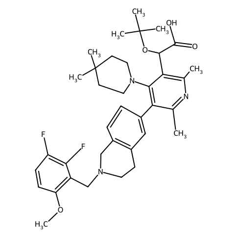 COc1ccc(F)c(F)c1CN1CCc2cc(-c3c(C)nc(C)c(C(OC(C)(C)C)C(=O)O)c3N3CCC(C)(C)CC3)ccc2C1